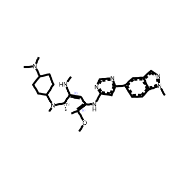 CN/C(=C/C(Nc1cc(-c2ccc3c(cnn3C)c2)ncn1)=C(\C)OC)[C@H](C)N(C)C1CCC(N(C)C)CC1